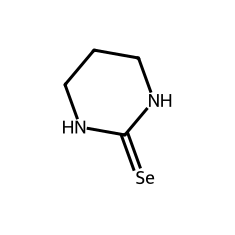 [Se]=C1NCCCN1